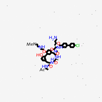 CNCCNCCOc1ccc2cc1-c1cc(ccc1O)C[C@@H](C(=O)N[C@@H](C)C(C)=O)NC(=O)[C@H](C)NC(=O)[C@H]2N(C)C(=O)[C@H](CCCCN)NC(=O)c1ccc(-c2ccc(Cl)cc2)cc1